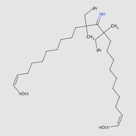 CCCCCCCC/C=C\CCCCCCCCC(C)(CC(C)C)C(=N)C(C)(CCCCCCCC/C=C\CCCCCCCC)CC(C)C